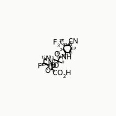 CC(O)(C[N+]1(OC(=O)C(=O)O)C=C(F)C=N1)C(=O)Nc1ccc(C#N)c(C(F)(F)F)c1